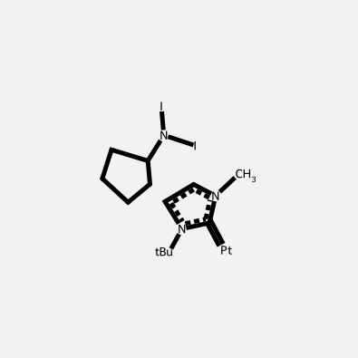 Cn1ccn(C(C)(C)C)[c]1=[Pt].IN(I)C1CCCC1